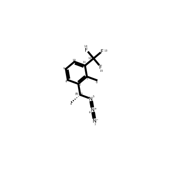 Cc1c([C@@H](C)N=[N+]=[N-])cccc1C(F)(F)F